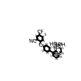 N#Cc1cc(C(F)(F)F)ccc1Oc1ccc(C23CCC(CC2)N2CCS(O)(O)N=C23)cc1